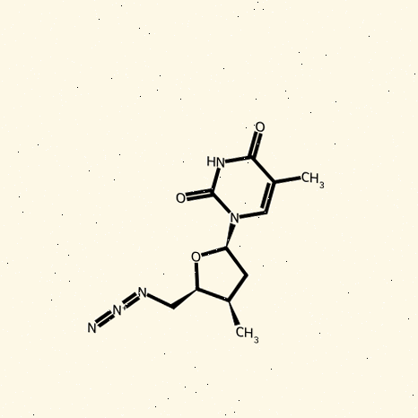 Cc1cn([C@H]2C[C@@H](C)[C@@H](CN=[N+]=[N-])O2)c(=O)[nH]c1=O